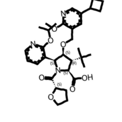 COc1ncc(C2CCC2)cc1CO[C@H]1[C@H](C(C)(C)C)[C@@H](C(=O)O)N(C(=O)[C@@H]2CCCO2)[C@H]1c1cccnc1OC(C)C